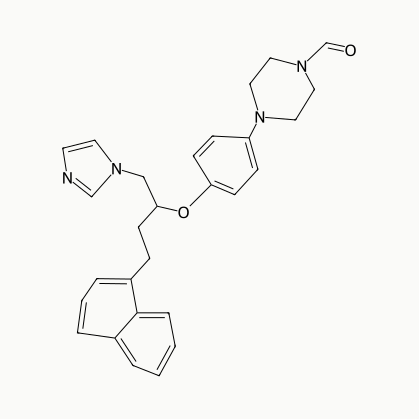 O=CN1CCN(c2ccc(OC(CCc3cccc4ccccc34)Cn3ccnc3)cc2)CC1